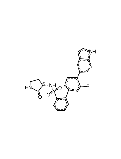 O=C1NCC[C@@H]1NS(=O)(=O)c1ccccc1-c1ccc(-c2cnc3[nH]ccc3c2)c(F)c1